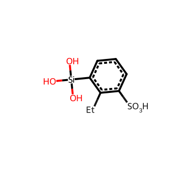 CCc1c([Si](O)(O)O)cccc1S(=O)(=O)O